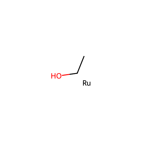 CCO.[Ru]